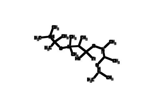 CCC(S)(O[SiH](C)C(C)O[SiH](C)C)C(C)[Si](C)(C)OC(C)(C)[SiH](C)C